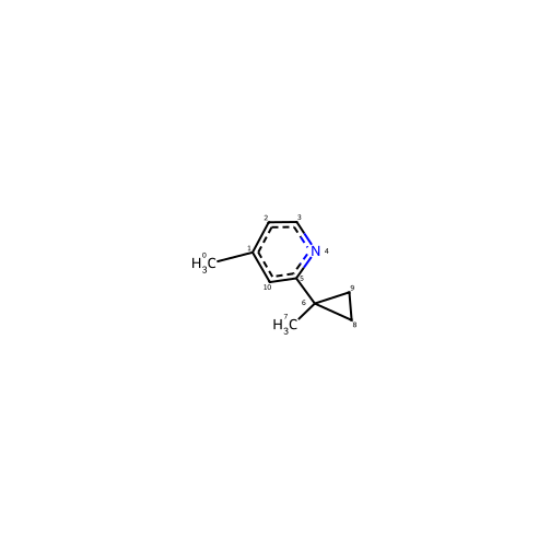 Cc1ccnc(C2(C)CC2)c1